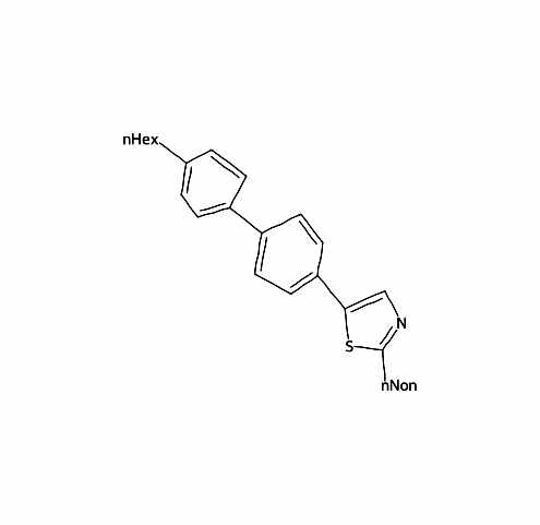 CCCCCCCCCc1ncc(-c2ccc(-c3ccc(CCCCCC)cc3)cc2)s1